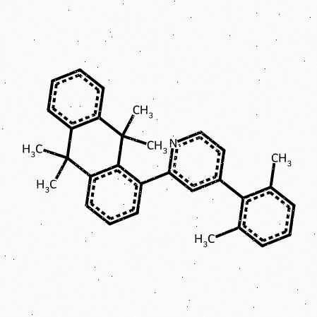 Cc1cccc(C)c1-c1ccnc(-c2cccc3c2C(C)(C)c2ccccc2C3(C)C)c1